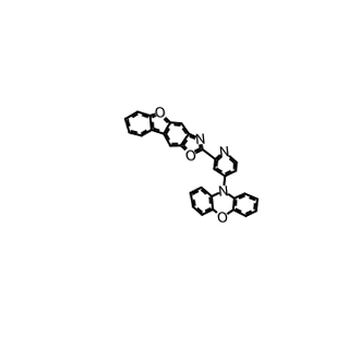 c1ccc2c(c1)Oc1ccccc1N2c1ccnc(-c2nc3cc4oc5ccccc5c4cc3o2)c1